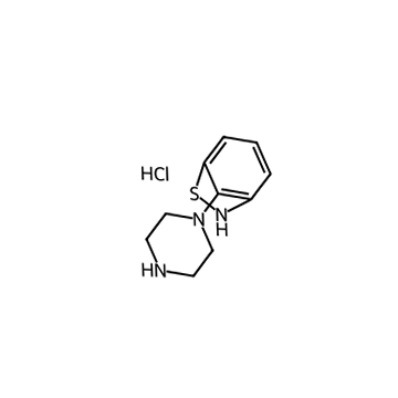 Cl.c1cc2c(N3CCNCC3)c(c1)SN2